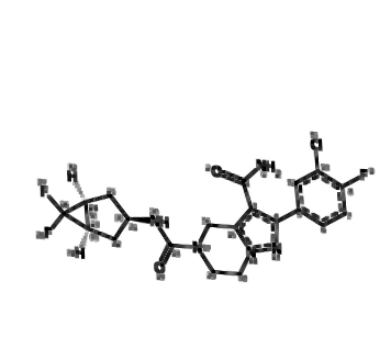 NC(=O)c1c(-c2ccc(F)c(Cl)c2)nn2c1CN(C(=O)N[C@H]1C[C@@H]3[C@H](C1)C3(F)F)CC2